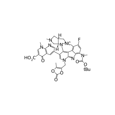 Cc1oc(=O)oc1Cn1cc(-c2cnc3c(c2)c(=O)c(C(=O)O)cn3C)c(N2CC[C@H]3CN(C)C[C@H]32)c2c3c(C#N)c(F)cc(N(C)C(=O)OC(C)(C)C)c3nc1-2